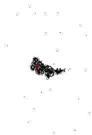 CCC[C@H](NC(=O)[C@@H]1CC2CCCCC2N1C(=O)[C@@H](NC(=O)[C@@H](NC(=O)c1ccccn1)C1CCCCC1)C(C)(C)C)C(=O)C(=O)NC1CC1